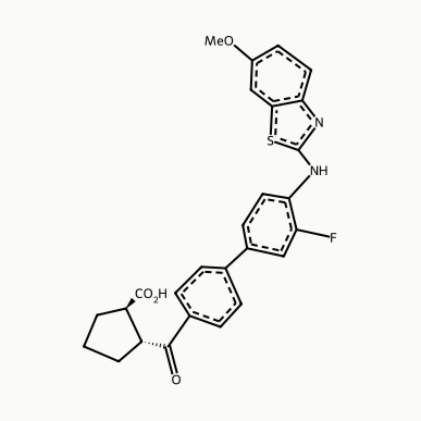 COc1ccc2nc(Nc3ccc(-c4ccc(C(=O)[C@@H]5CCC[C@H]5C(=O)O)cc4)cc3F)sc2c1